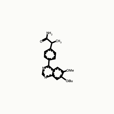 COc1cc2c(-c3ccc(C(C)C(N)=O)cc3)ncnc2cc1OCC(C)C